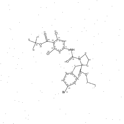 CCOC(=O)C1(Cc2ccc(Br)cc2)CCCN1C(=O)Nc1cc(Cl)c(C(=O)OC(C)(C)C)c(Cl)c1